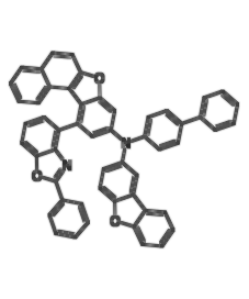 c1ccc(-c2ccc(N(c3cc(-c4cccc5oc(-c6ccccc6)nc45)c4c(c3)oc3ccc5ccccc5c34)c3ccc4oc5ccccc5c4c3)cc2)cc1